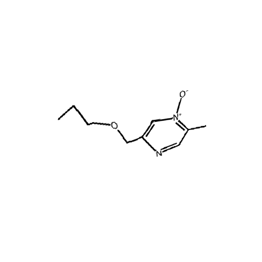 CCCOCc1c[n+]([O-])c(C)cn1